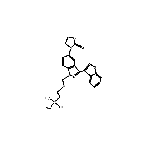 CS(C)(C)CCOCn1nc(-c2coc3ccccc23)c2cc(N3CCOC3=O)ccc21